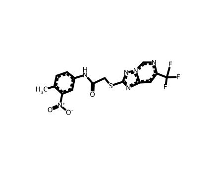 Cc1ccc(NC(=O)CSc2nc3cc(C(F)(F)F)ncn3n2)cc1[N+](=O)[O-]